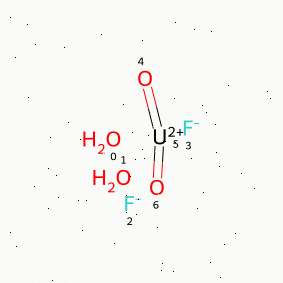 O.O.[F-].[F-].[O]=[U+2]=[O]